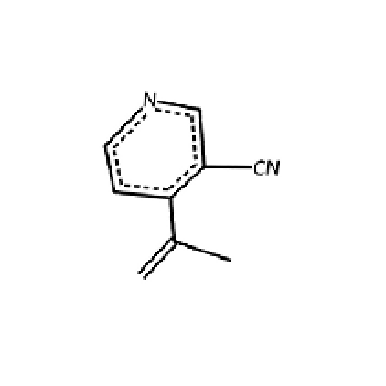 C=C(C)c1ccncc1C#N